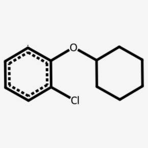 Clc1ccc[c]c1OC1CCCCC1